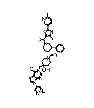 Cc1ccc(-c2nc(C)c(C(=O)N3CC[C@@H](C(=O)N4CCC(O)(Cn5cnc6c(ccn6-c6cnn(C)c6)c5=O)CC4)[C@H](c4ccccc4)C3)s2)cn1